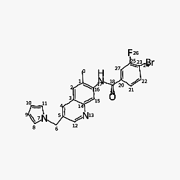 Cc1cc2cc(Cn3cccc3)cnc2cc1NC(=O)c1ccc(Br)c(F)c1